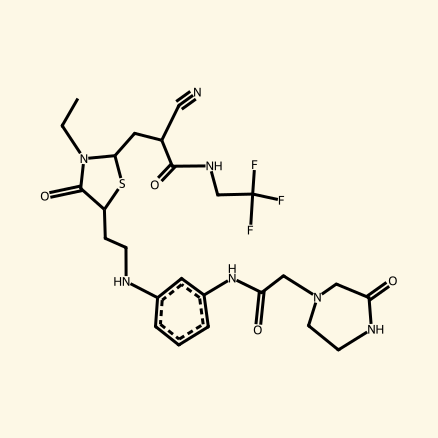 CCN1C(=O)C(CCNc2cccc(NC(=O)CN3CCNC(=O)C3)c2)SC1CC(C#N)C(=O)NCC(F)(F)F